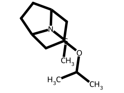 CSN1C2CCC1CC(OC(C)C)C2